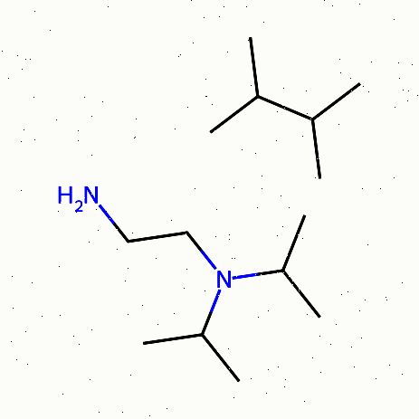 CC(C)C(C)C.CC(C)N(CCN)C(C)C